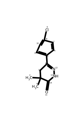 CC1(C)CC(c2ccc(Cl)cc2)=NNC1=O